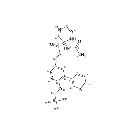 CC(=O)NC1(C(=O)NCc2cnc(OCC(F)(F)F)c(-c3ccccc3)c2)C=NC=CN1